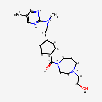 CCCc1cnc(N(C)CC[C@H]2CC[C@H](C(=O)N3CCCN(CCO)CC3)CC2)nc1